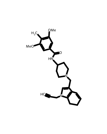 C#CCn1cc(CN2CCC(NC(=O)c3cc(OC)c(C)c(OC)c3)CC2)c2c1CCC=C2